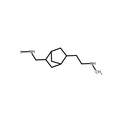 CNCCC1CC2CC1CC2CNI